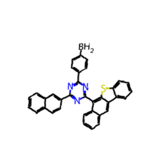 Bc1ccc(-c2nc(-c3ccc4ccccc4c3)nc(-c3c4ccccc4cc4c3sc3ccccc34)n2)cc1